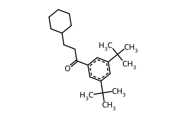 CC(C)(C)c1cc(C(=O)CCC2CCCCC2)cc(C(C)(C)C)c1